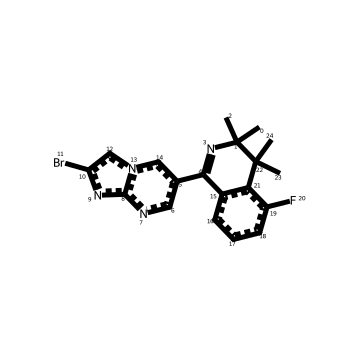 CC1(C)N=C(c2cnc3nc(Br)cn3c2)c2cccc(F)c2C1(C)C